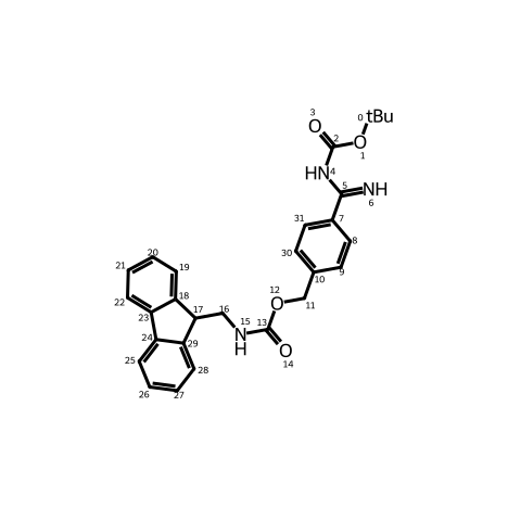 CC(C)(C)OC(=O)NC(=N)c1ccc(COC(=O)NCC2c3ccccc3-c3ccccc32)cc1